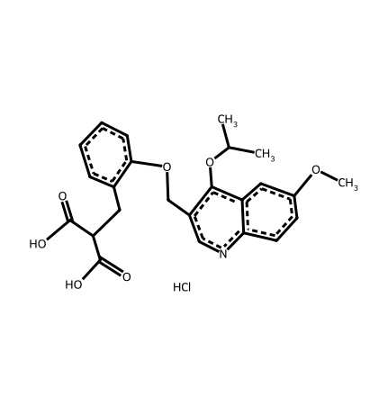 COc1ccc2ncc(COc3ccccc3CC(C(=O)O)C(=O)O)c(OC(C)C)c2c1.Cl